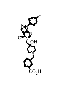 O=C(O)c1cccc(CN2CCC(O)(Cn3cnc4c(cnn4-c4ccc(F)cc4)c3=O)CC2)c1